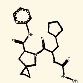 O=C(CC(CC1CCCC1)C(=O)N1CC2(CC2)CC1C(=O)Nc1cnccn1)NO